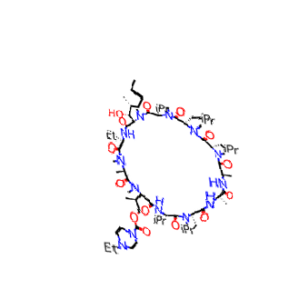 C/C=C/C[C@@H](C)[C@@H](O)[C@H]1C(=O)N[C@@H](CC)C(=O)N(C)[C@H](C)C(=O)N(C)[C@@H]([C@H](C)COC(=O)N2CCN(CC)CC2)C(=O)N[C@@H](C(C)C)C(=O)N(C)[C@@H](CC(C)C)C(=O)N[C@@H](C)C(=O)N[C@H](C)C(=O)N(C)[C@@H](CC(C)C)C(=O)N(C)[C@@H](CC(C)C)C(=O)N(C)[C@@H](C(C)C)C(=O)N1C